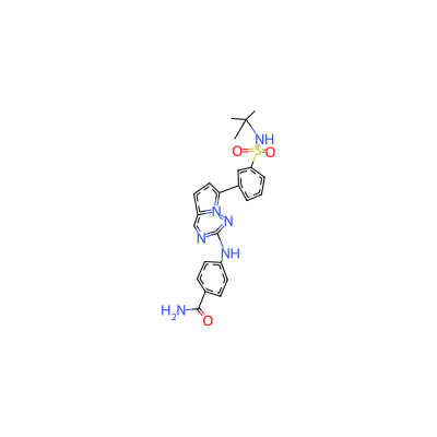 CC(C)(C)NS(=O)(=O)c1cccc(-c2ccc3cnc(Nc4ccc(C(N)=O)cc4)nn23)c1